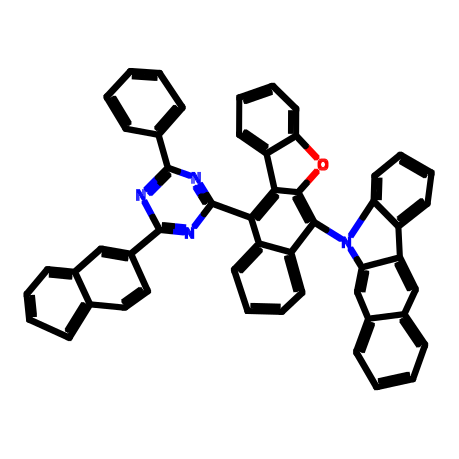 c1ccc(-c2nc(-c3ccc4ccccc4c3)nc(-c3c4ccccc4c(-n4c5ccccc5c5cc6ccccc6cc54)c4oc5ccccc5c34)n2)cc1